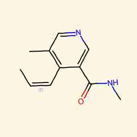 C/C=C\c1c(C)cncc1C(=O)NC